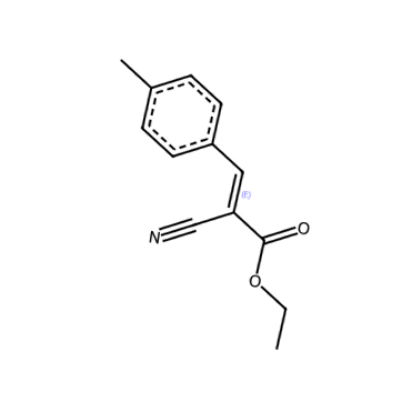 CCOC(=O)/C(C#N)=C/c1ccc(C)cc1